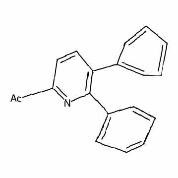 CC(=O)c1ccc(-c2ccccc2)c(-c2ccccc2)n1